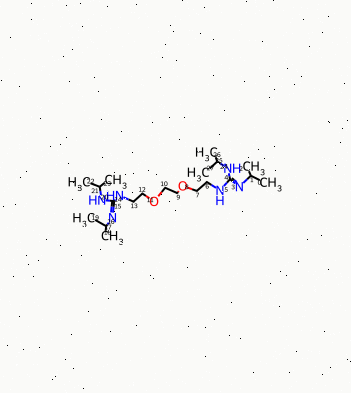 CC(C)N=C(NCCOCCOCCNC(=NC(C)C)NC(C)C)NC(C)C